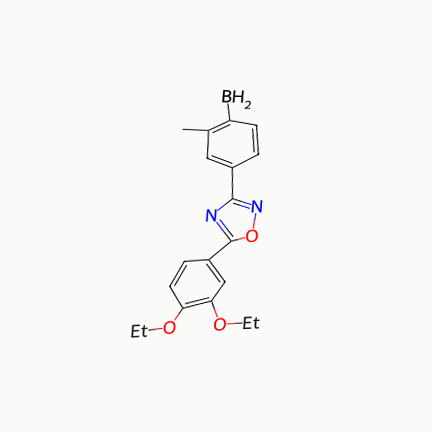 Bc1ccc(-c2noc(-c3ccc(OCC)c(OCC)c3)n2)cc1C